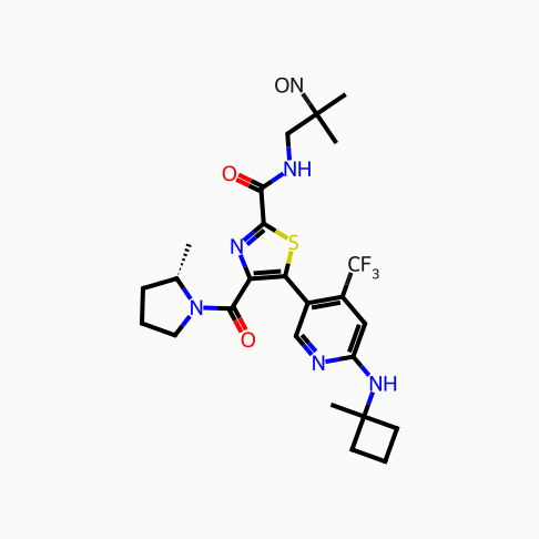 C[C@H]1CCCN1C(=O)c1nc(C(=O)NCC(C)(C)N=O)sc1-c1cnc(NC2(C)CCC2)cc1C(F)(F)F